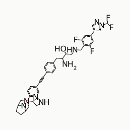 N[C@@H](Cc1ccc(C#Cc2ccc(N3CC4CCC(C3)N4CC3CNC3)nc2)cc1)[C@@H](O)CNCc1c(F)cc(-c2cnn(C(F)F)c2)cc1F